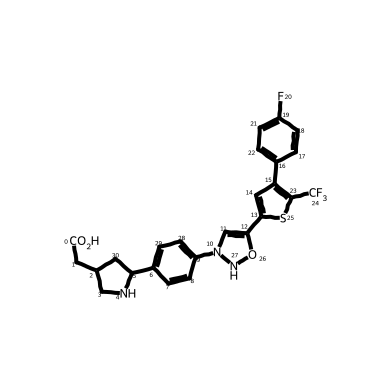 O=C(O)CC1CNC(c2ccc(N3C=C(c4cc(-c5ccc(F)cc5)c(C(F)(F)F)s4)ON3)cc2)C1